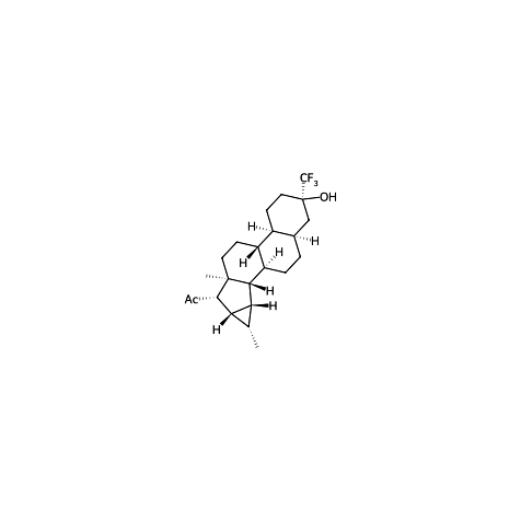 CC(=O)[C@H]1[C@H]2[C@@H](C)[C@H]2[C@H]2[C@@H]3CC[C@@H]4C[C@@](O)(C(F)(F)F)CC[C@@H]4[C@H]3CC[C@@]21C